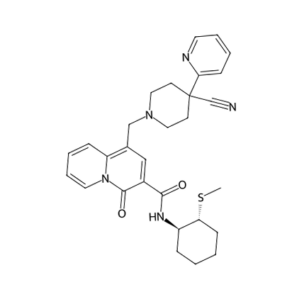 CS[C@@H]1CCCC[C@H]1NC(=O)c1cc(CN2CCC(C#N)(c3ccccn3)CC2)c2ccccn2c1=O